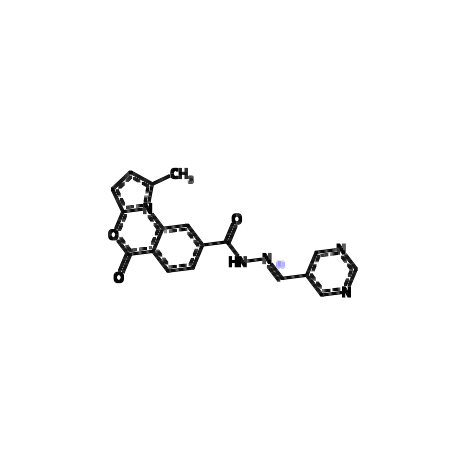 Cc1ccc2oc(=O)c3ccc(C(=O)N/N=C/c4cncnc4)cc3n12